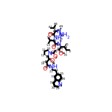 CC[C@H](C)C([C@@H](CC(=O)N1CCC[C@H]1[C@H](OC)[C@@H](C)C(=O)NCCc1ccc2ncccc2c1)OC)N(C)C(=O)[C@@H](NC(=O)[C@H](C(C)C)N(C)N)C(C)C